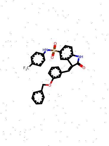 O=C1Nc2ccc(S(=O)(=O)Nc3ccc(C(F)(F)F)cc3)cc2C1=Cc1cccc(OCc2ccccc2)c1